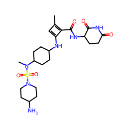 CC1=C(C(=O)NC2CCC(=O)NC2=O)C(NC2CCC(N(C)S(=O)(=O)N3CCC(N)CC3)CC2)=C1